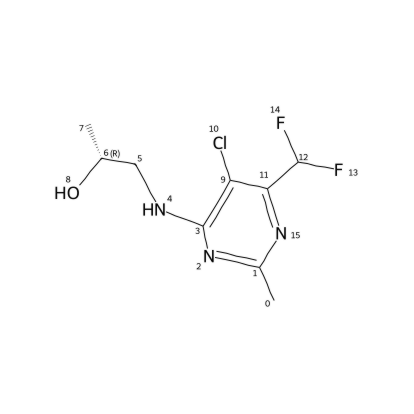 Cc1nc(NC[C@@H](C)O)c(Cl)c(C(F)F)n1